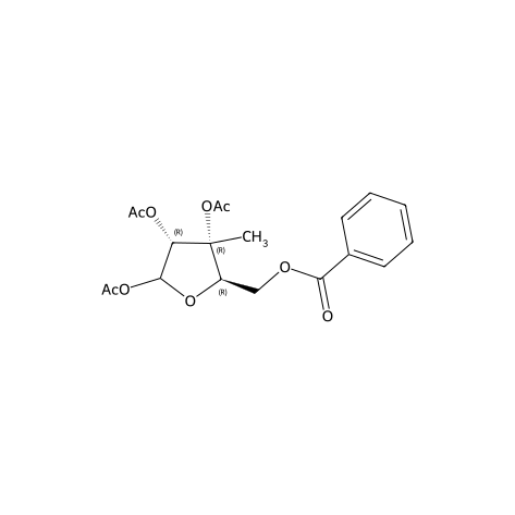 CC(=O)OC1O[C@H](COC(=O)c2ccccc2)[C@@](C)(OC(C)=O)[C@H]1OC(C)=O